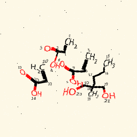 C=CC(=O)O.C=CC(=O)O.C=CC(=O)O.CCCC(C)(CO)CO